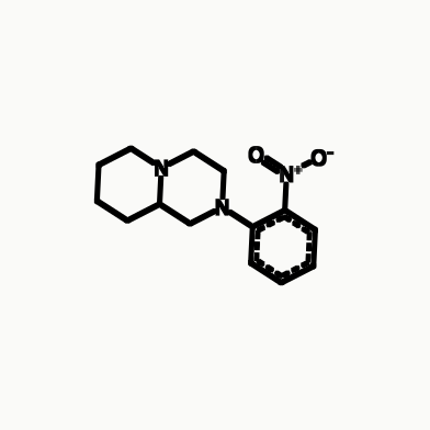 O=[N+]([O-])c1ccccc1N1CCN2CCCCC2C1